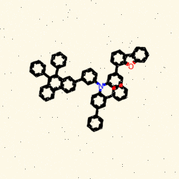 c1ccc(-c2ccc(N(c3cccc(-c4ccc5c(c4)c(-c4ccccc4)c(-c4ccccc4)c4ccccc45)c3)c3cccc(-c4cccc5c4oc4ccccc45)c3)c(-c3ccccc3)c2)cc1